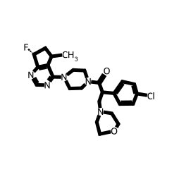 CC1C[C@@H](F)c2ncnc(N3CCN(C(=O)C(CN4CCOCC4)c4ccc(Cl)cc4)CC3)c21